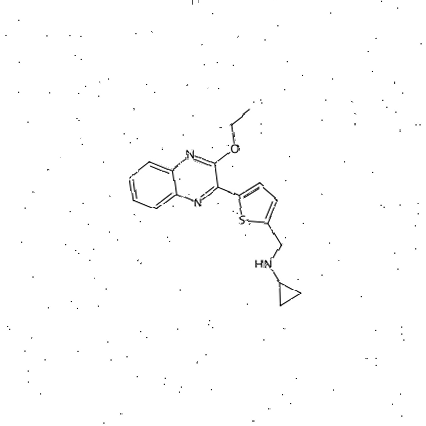 CCOc1nc2ccccc2nc1-c1ccc(CNC2CC2)s1